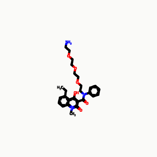 CCc1cccc2c1c(O)c(C(=O)N(CCOCCOCCOCCN)c1ccccc1)c(=O)n2C